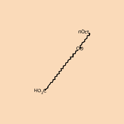 CCCCCCCC/C=C\CCCCCCCC(=O)OCCCCCCCCCCCCCCCCCCCCCCCCCCCCC(=O)O